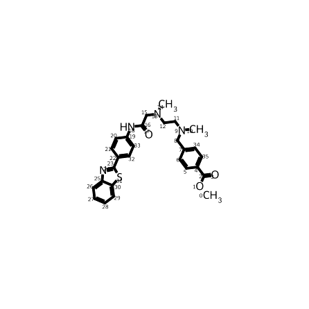 COC(=O)c1ccc(CN(C)CCN(C)CC(=O)Nc2ccc(-c3nc4ccccc4s3)cc2)cc1